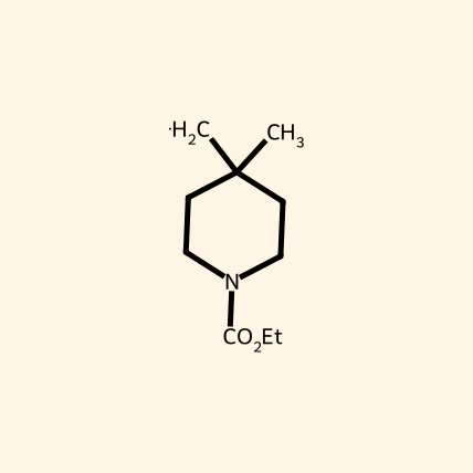 [CH2]C1(C)CCN(C(=O)OCC)CC1